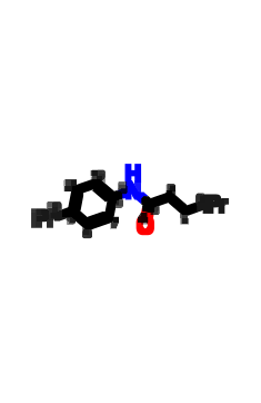 CC(C)CCC(=O)Nc1ccc(C(C)C)cc1